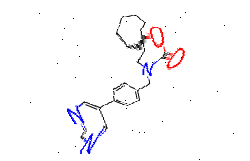 O=C1OC2(CCCCC2)CN1Cc1ccc(-c2cncnc2)cc1